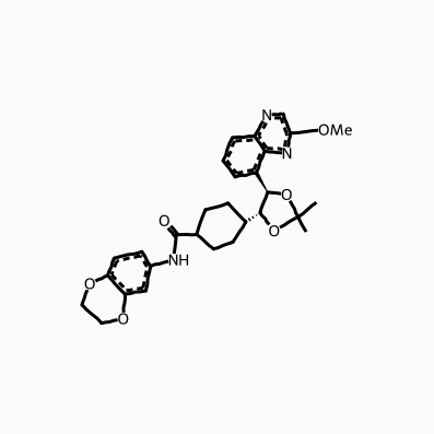 COc1cnc2cccc([C@H]3OC(C)(C)O[C@@H]3C3CCC(C(=O)Nc4ccc5c(c4)OCCO5)CC3)c2n1